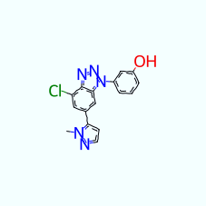 Cn1nccc1-c1cc(Cl)c2nnn(-c3cccc(O)c3)c2c1